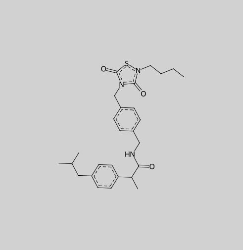 CCCCn1sc(=O)n(Cc2ccc(CNC(=O)C(C)c3ccc(CC(C)C)cc3)cc2)c1=O